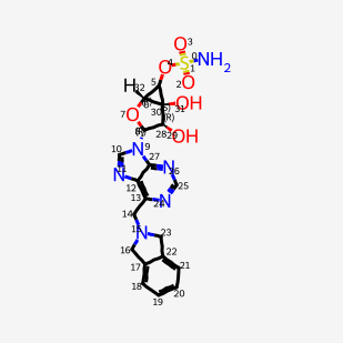 NS(=O)(=O)OC1[C@H]2O[C@@H](n3cnc4c(CN5Cc6ccccc6C5)ncnc43)[C@H](O)[C@@]12O